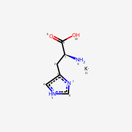 N[C@@H](Cc1c[nH]cn1)C(=O)O.[K]